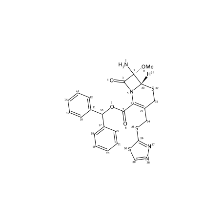 CO[C@@]1(N)C(=O)N2C(C(=O)OC(c3ccccc3)c3ccccc3)=C(CSc3nncs3)CS[C@H]21